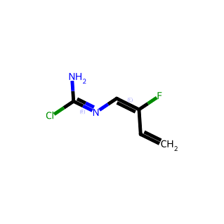 C=C/C(F)=C\N=C(/N)Cl